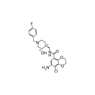 Nc1cc(C(=O)NC[C@@H]2CCN(Cc3ccc(F)cc3)C[C@H]2O)c2c(c1Cl)OCCO2